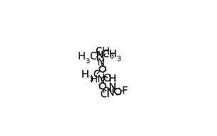 Cc1cc(N2CC(C)N(C)[C@@H](C)C2)ccc1C(=O)Nc1ccc(Cl)c(-c2nc3ccc(F)cc3[nH]2)c1